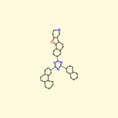 c1ccc2cc(-c3nc(-c4ccc5c(ccc6c7cnccc7oc56)c4)nc(-c4ccc5ccc6ccccc6c5c4)n3)ccc2c1